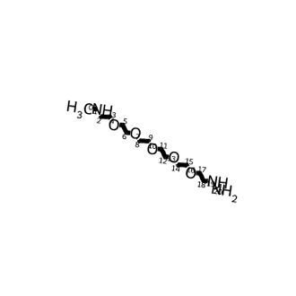 CNCCOCCOCCOCCOCCOCCNN